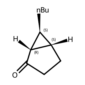 CCCC[C@H]1[C@@H]2CCC(=O)[C@H]12